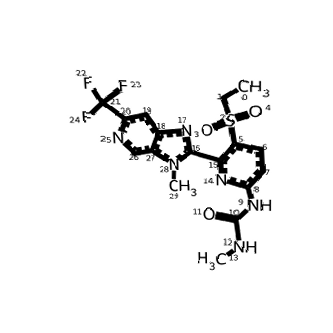 CCS(=O)(=O)c1ccc(NC(=O)NC)nc1-c1nc2cc(C(F)(F)F)ncc2n1C